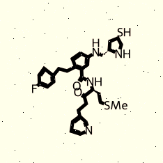 CSCC[C@H](NC(=O)c1cc(NC[C@@H]2C[C@H](S)CN2)ccc1CCc1ccc(F)cc1)C(=O)CCc1cccnc1